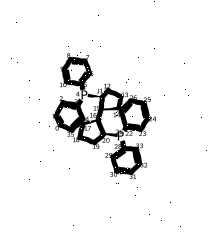 c1ccc(P(c2ccccc2)[C@H]2CCC[C@H]2[C@@H]2CCC[C@@H]2P(c2ccccc2)c2ccccc2)cc1